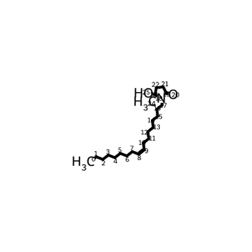 CCCCCCCC/C=C\CCCCCCCCN1C(=O)CCC1(C)O